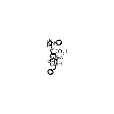 O=C(Cc1ccccc1)NC1C(=O)N2C(C(=O)O)=C(CSc3nnnn3-c3ccccc3)C[S+]([O-])[C@@H]12